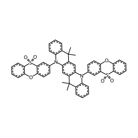 CC1(C)c2ccccc2N(c2ccc3c(c2)S(=O)(=O)c2ccccc2O3)c2cc3c(cc21)N(c1ccc2c(c1)S(=O)(=O)c1ccccc1O2)c1ccccc1C3(C)C